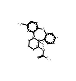 Nc1ccc2c(c1)N1CCC[C@H](NC(=O)C(F)(F)F)[C@@H]1c1ccccc1O2